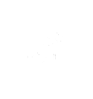 Cn1ccc2c(S(N)(=O)=O)c[nH]c2c1=O